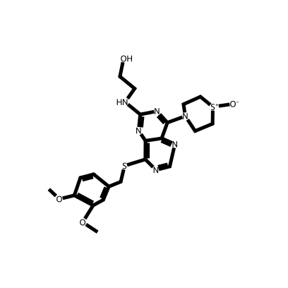 COc1ccc(CSc2ncnc3c(N4CC[S+]([O-])CC4)nc(NCCO)nc23)cc1OC